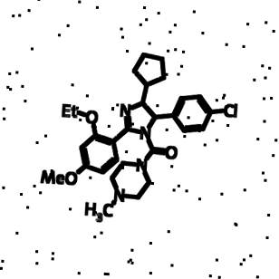 CCOc1cc(OC)ccc1C1=NC(C2CCCC2)C(c2ccc(Cl)cc2)N1C(=O)N1CCN(C)CC1